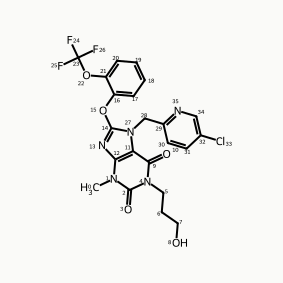 Cn1c(=O)n(CCCO)c(=O)c2c1nc(Oc1ccccc1OC(F)(F)F)n2Cc1ccc(Cl)cn1